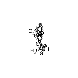 Cc1cn(CC(=O)N2CCN(S(=O)(=O)c3ccc(Cl)cc3[N+](=O)[O-])C(=O)C2)c(=O)[nH]c1=O